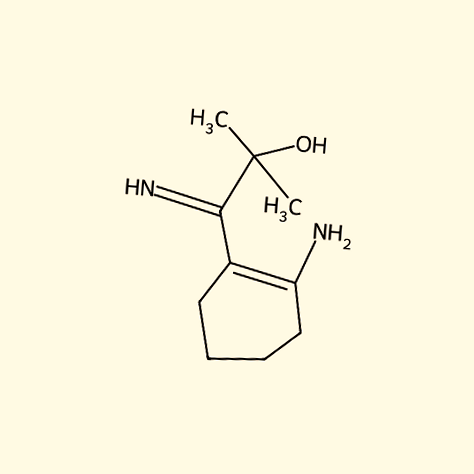 CC(C)(O)C(=N)C1=C(N)CCCC1